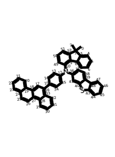 CC1(C)c2ccccc2-c2c(N(c3ccc(-c4cc5c6ccccc6ccc5c5ccccc45)cc3)c3ccc4c(c3)sc3ccccc34)cccc21